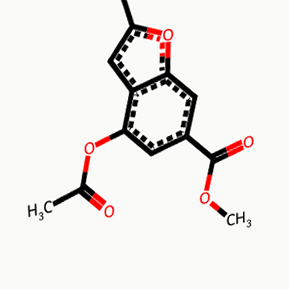 COC(=O)c1cc(OC(C)=O)c2cc(C)oc2c1